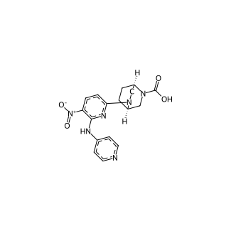 O=C(O)N1C[C@H]2CC[C@@H]1CN2c1ccc([N+](=O)[O-])c(Nc2ccncc2)n1